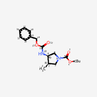 C[C@@H]1CN(C(=O)OC(C)(C)C)C[C@@H]1NC(=O)OCc1ccccc1